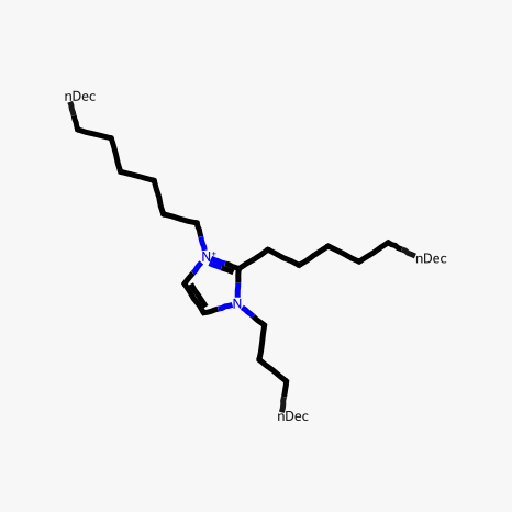 CCCCCCCCCCCCCCCC[n+]1ccn(CCCCCCCCCCCCC)c1CCCCCCCCCCCCCCC